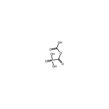 O=C(O)OC(=O)P(=O)(O)O